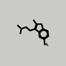 CC1=C(CCN(C)C)c2cc(N)ccc2C1